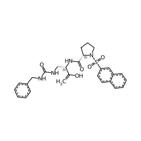 C=C(O)[C@H](CNC(=O)NCc1ccccc1)NC(=O)[C@@H]1CCCN1S(=O)(=O)c1ccc2ccccc2c1